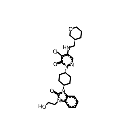 O=c1c(Cl)c(NC[C@@H]2CCCOC2)cnn1[C@H]1CC[C@H](n2c(=O)n(CCO)c3ccccc32)CC1